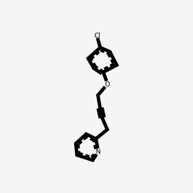 Clc1ccc(OCC#CCc2ccccn2)cc1